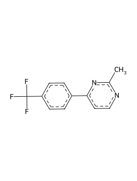 Cc1nccc(-c2ccc(C(F)(F)F)cc2)n1